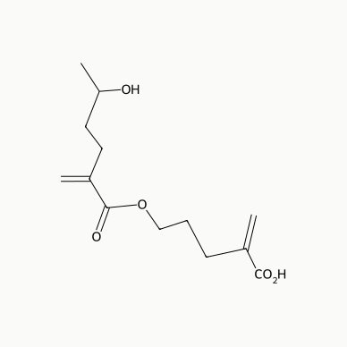 C=C(CCCOC(=O)C(=C)CCC(C)O)C(=O)O